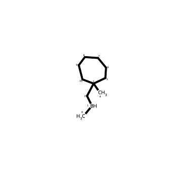 CBCC1(C)CCCCCC1